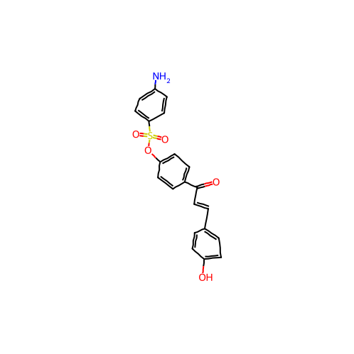 Nc1ccc(S(=O)(=O)Oc2ccc(C(=O)C=Cc3ccc(O)cc3)cc2)cc1